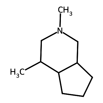 CC1CN(C)CC2CCCC12